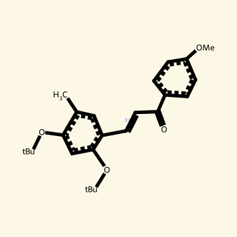 COc1ccc(C(=O)/C=C/c2cc(C)c(OC(C)(C)C)cc2OC(C)(C)C)cc1